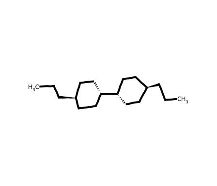 CCC[C@H]1CC[C@H]([C@H]2CC[C@H](CCC)CC2)CC1